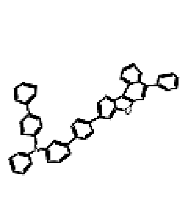 c1ccc(-c2ccc(N(c3ccccc3)c3cccc(-c4ccc(-c5ccc6c(c5)oc5cc(-c7ccccc7)c7ccccc7c56)cc4)c3)cc2)cc1